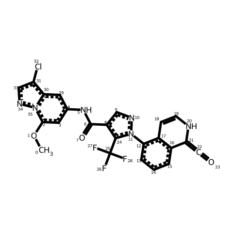 COc1cc(NC(=O)c2cnn(-c3cccc4c3C=CNC4=C=O)c2C(F)(F)F)cc2c(Cl)cnn12